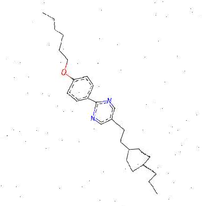 CCCCCCOc1ccc(-c2ncc(CCC3CCC(CCC)CC3)cn2)cc1